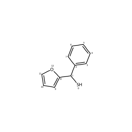 SC(c1ccccc1)c1ccco1